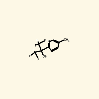 Cc1ccc(C(O)(C(F)(F)F)C(F)(F)F)nc1